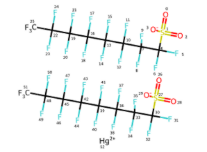 O=S(=O)([O-])C(F)(F)C(F)(F)C(F)(F)C(F)(F)C(F)(F)C(F)(F)C(F)(F)C(F)(F)F.O=S(=O)([O-])C(F)(F)C(F)(F)C(F)(F)C(F)(F)C(F)(F)C(F)(F)C(F)(F)C(F)(F)F.[Hg+2]